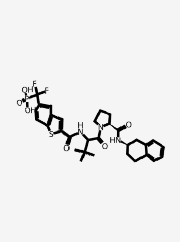 CC(C)(C)C(NC(=O)c1cc2cc(C(F)(F)P(=O)(O)O)ccc2s1)C(=O)N1CCC[C@H]1C(=O)N[C@@H]1CCc2ccccc2C1